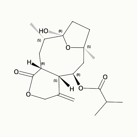 C=C1COC(=O)[C@@H]2C[C@H](C)[C@@]3(O)CC[C@@](C)(C[C@@H](OC(=O)C(C)C)[C@H]12)O3